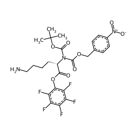 CC(C)(C)OC(=O)N(C(=O)OCc1ccc([N+](=O)[O-])cc1)[C@@H](CCCCN)C(=O)Oc1c(F)c(F)c(F)c(F)c1F